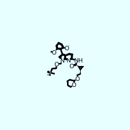 COc1cccc(OC)c1-c1cn(COCC[Si](C)(C)C)c2nc(NC(=O)[C@@H]3C[C@H]3CCOC3CCCCO3)ccc12